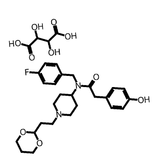 O=C(Cc1ccc(O)cc1)N(Cc1ccc(F)cc1)C1CCN(CCC2OCCCO2)CC1.O=C(O)C(O)C(O)C(=O)O